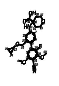 COc1cc(-c2ccc(NC3(C(=O)O)CCOCC3)cc2COC2CC2)c(F)c(OC)c1C#N